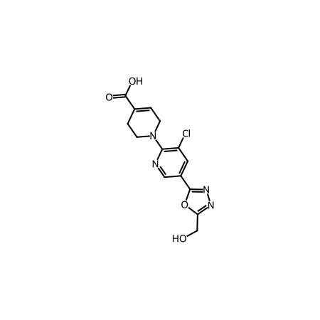 O=C(O)C1=CCN(c2ncc(-c3nnc(CO)o3)cc2Cl)CC1